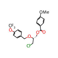 COc1ccc(C(=O)OC[C@H](CCl)OCc2ccc(OC(F)(F)F)cc2)cc1